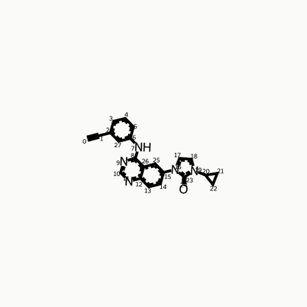 C#Cc1cccc(Nc2ncnc3ccc(-n4ccn(C5CC5)c4=O)cc23)c1